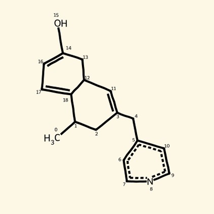 CC1CC(Cc2ccncc2)=CC2CC(O)=CC=C12